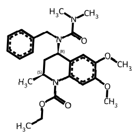 CCOC(=O)N1c2cc(OC)c(OC)cc2[C@H](N(Cc2ccccc2)C(=O)N(C)C)C[C@@H]1C